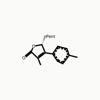 CCCCC[C@H]1OC(=O)C(C)=C1c1ccc(C)cc1